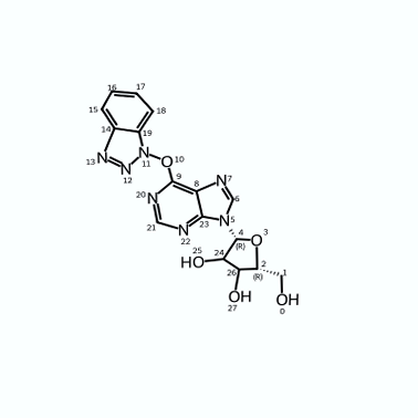 OC[C@H]1O[C@@H](n2cnc3c(On4nnc5ccccc54)ncnc32)C(O)C1O